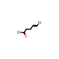 CC/C=C/CCC(=O)CC